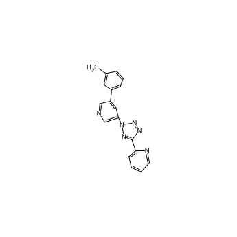 Cc1cccc(-c2cncc(-n3nnc(-c4ccccn4)n3)c2)c1